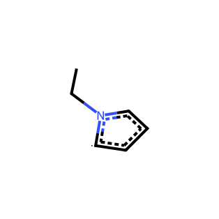 CCn1[c]ccc1